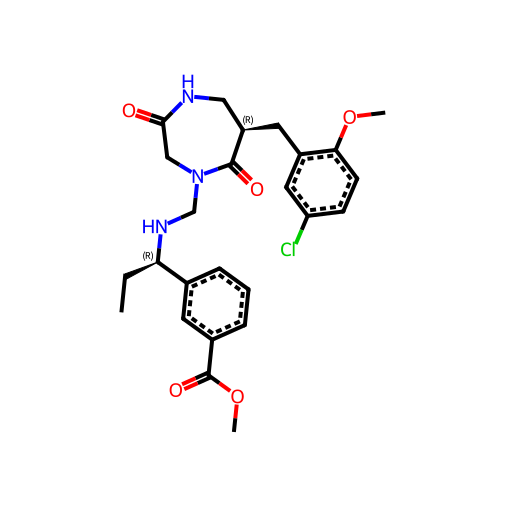 CC[C@@H](NCN1CC(=O)NC[C@@H](Cc2cc(Cl)ccc2OC)C1=O)c1cccc(C(=O)OC)c1